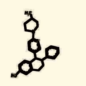 CC1CCN(c2ccc(C3c4ccc(O)cc4CCC3c3ccccc3)cn2)CC1